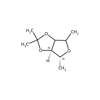 CC1O[C@H](C)[C@H]2OC(C)(C)OC12